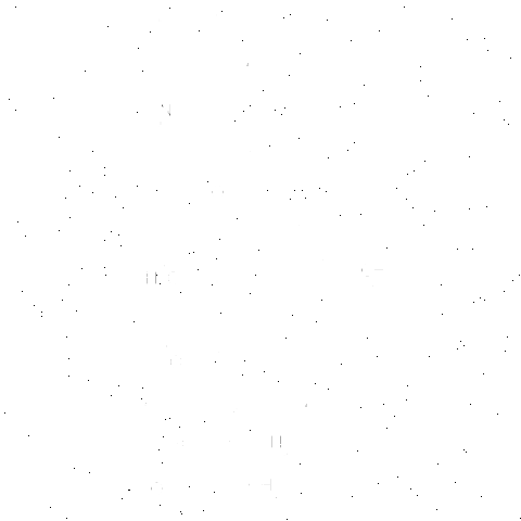 C=C1C(=O)COC2c3c(C)c(OCc4ccccn4)cc(C)c3CC[C@@H]12